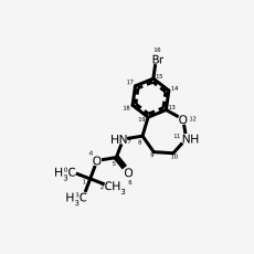 CC(C)(C)OC(=O)NC1CCNOc2cc(Br)ccc21